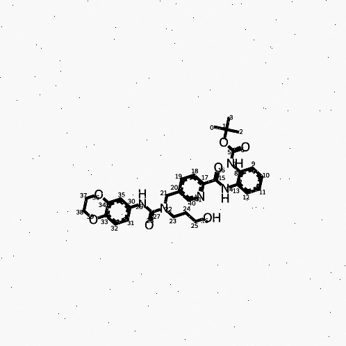 CC(C)(C)OC(=O)Nc1ccccc1NC(=O)c1ccc(CN(CCCO)C(=O)Nc2ccc3c(c2)OCCO3)cn1